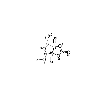 COC1O[C@H](CCl)[C@H]2OS(=O)O[C@@H]12